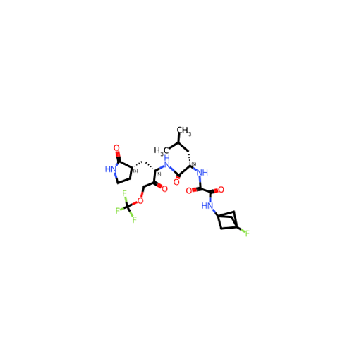 CC(C)C[C@H](NC(=O)C(=O)NC12CC(F)(C1)C2)C(=O)N[C@@H](C[C@@H]1CCNC1=O)C(=O)COC(F)(F)F